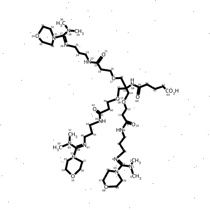 CN(C)/C(=N\CCCNC(=O)CCOCC(COCCC(=O)NCCC/N=C(\N(C)C)N1CCOCC1)(COCCC(=O)NCCC/N=C(\N(C)C)N1CCOCC1)NC(=O)CCCC(=O)O)N1CCOCC1